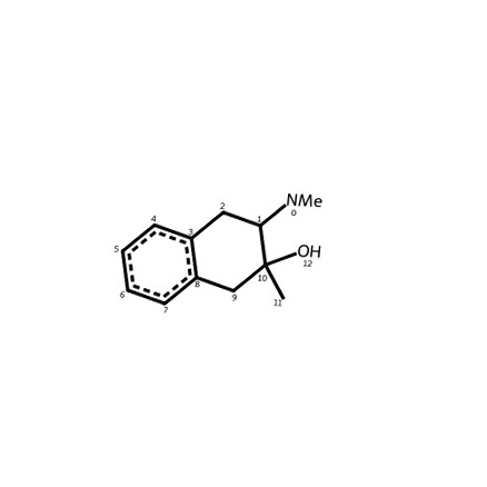 CNC1Cc2ccccc2CC1(C)O